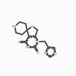 O=c1[nH]c(=O)n(Cc2cocn2)c2c1C1(CCNCC1)OC2